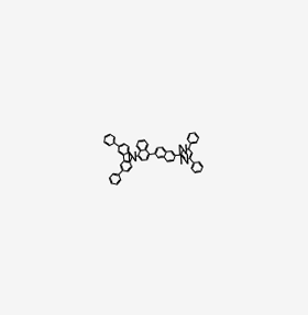 c1ccc(-c2ccc3c(c2)c2cc(-c4ccccc4)ccc2n3-c2ccc(-c3ccc4cc(-c5nc(-c6ccccc6)cc(-c6ccccc6)n5)ccc4c3)c3ccccc23)cc1